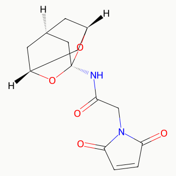 O=C(CN1C(=O)C=CC1=O)N[C@]12C[C@H]3C[C@H](C[C@H](C3)O1)O2